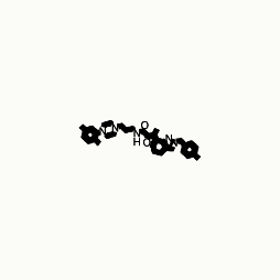 Cc1ccc(Cn2cc3c(n2)-c2c(oc(C(=O)NCCCN4CCN(c5cc(C)ccc5C)CC4)c2C)CC3)cc1